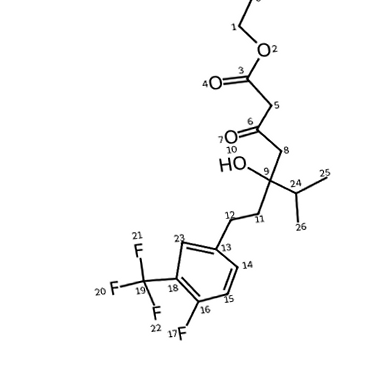 CCOC(=O)CC(=O)CC(O)(CCc1ccc(F)c(C(F)(F)F)c1)C(C)C